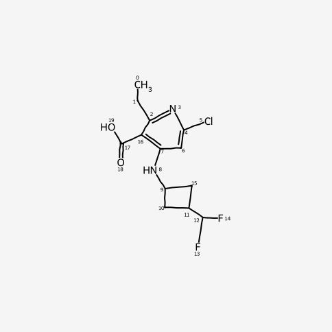 CCc1nc(Cl)cc(NC2CC(C(F)F)C2)c1C(=O)O